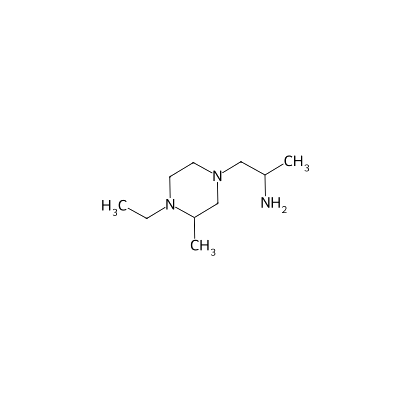 CCN1CCN(CC(C)N)CC1C